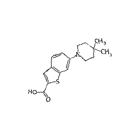 CC1(C)CCN(c2ccc3cc(C(=O)O)sc3c2)CC1